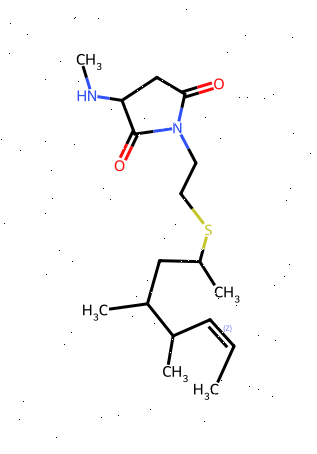 C/C=C\C(C)C(C)CC(C)SCCN1C(=O)CC(NC)C1=O